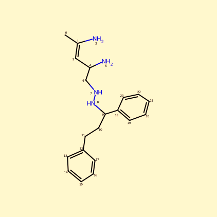 C/C(N)=C/C(N)CNNC(CCc1ccccc1)c1ccccc1